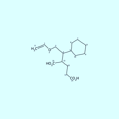 C=COCC(C1CCCCC1)C(CCC(=O)O)C(=O)O